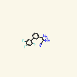 N#Cc1[nH]nnc1-c1cccc(-c2cc(F)c(F)cc2F)c1